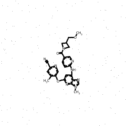 COCC1CN(C(=O)c2ccc(Nc3cc(Oc4cnc(C#N)cc4C)nc4c3ncn4C)nc2)C1